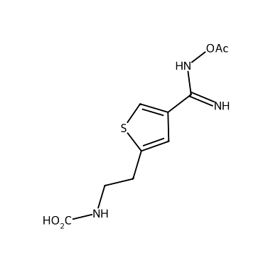 CC(=O)ONC(=N)c1csc(CCNC(=O)O)c1